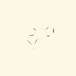 CSc1cc(O)c2c(c1)Sc1ccccc1CC2=O